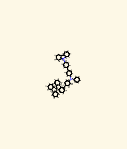 c1ccc(N(c2ccc(-c3ccc(-n4c5ccccc5c5ccccc54)cc3)cc2)c2ccc(-c3cccc4c3-c3ccccc3C43c4ccccc4-c4ccccc43)cc2)cc1